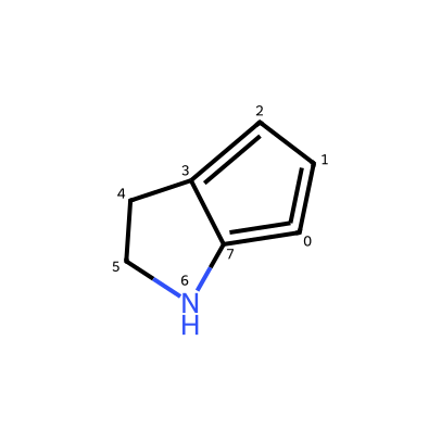 C1=CC=C2CCNC=12